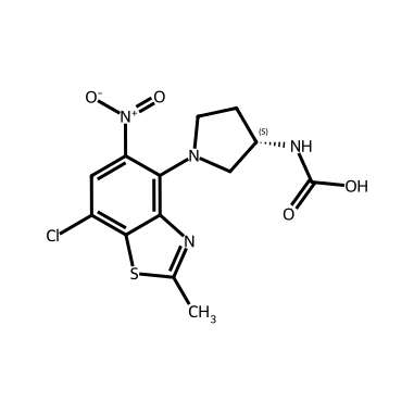 Cc1nc2c(N3CC[C@H](NC(=O)O)C3)c([N+](=O)[O-])cc(Cl)c2s1